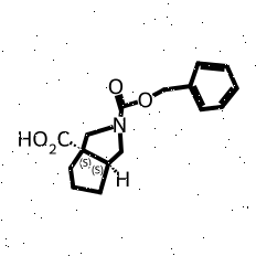 O=C(OCc1ccccc1)N1C[C@H]2CCC[C@@]2(C(=O)O)C1